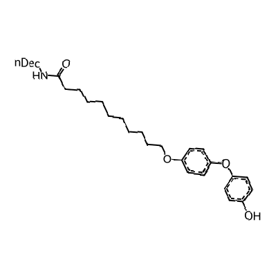 CCCCCCCCCCNC(=O)CCCCCCCCCCOc1ccc(Oc2ccc(O)cc2)cc1